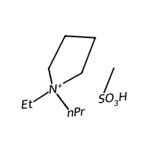 CCC[N+]1(CC)CCCC1.CS(=O)(=O)O